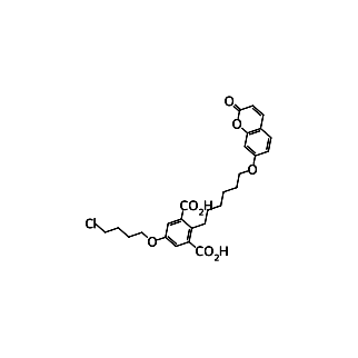 O=C(O)c1cc(OCCCCCl)cc(C(=O)O)c1CCCCCCOc1ccc2ccc(=O)oc2c1